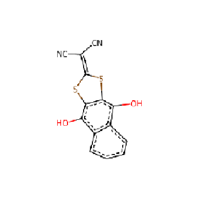 N#CC(C#N)=C1Sc2c(c(O)c3ccccc3c2O)S1